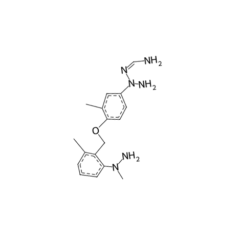 Cc1cc(N(N)/N=C\N)ccc1OCc1c(C)cccc1N(C)N